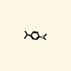 CC(C)c1ccc([Si](C)C)cc1